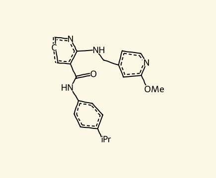 COc1cc(CNc2ncccc2C(=O)Nc2ccc(C(C)C)cc2)ccn1